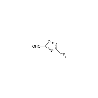 O=[C]c1nc(C(F)(F)F)co1